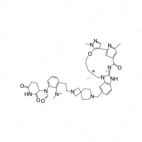 Cc1cc2cc(n1)-c1cnn(C)c1OCCC[C@@H](C)CN1/C(=N/C2=O)Nc2ccc(CN3CCC4(CC3)CN(CCc3cccc(N(C=O)C5CCC(=O)NC5=O)c3N(C)C)C4)cc21